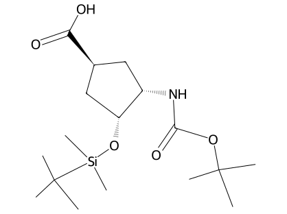 CC(C)(C)OC(=O)N[C@H]1C[C@H](C(=O)O)C[C@H]1O[Si](C)(C)C(C)(C)C